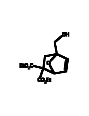 CCOC(=O)C1(C(=O)OCC)CC2(CO)C=CC1O2